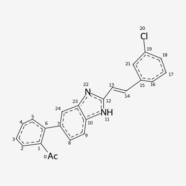 CC(=O)c1ccccc1-c1ccc2[nH]c(C=Cc3cccc(Cl)c3)nc2c1